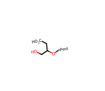 CCCCCOC(CO)CC(=O)O